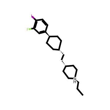 CCC[Si@H]1CC[C@H](CC[C@H]2CC[C@H](c3ccc(I)c(F)c3)CC2)CC1